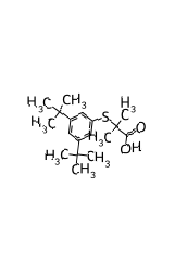 CC(C)(Sc1cc(C(C)(C)C)cc(C(C)(C)C)c1)C(=O)O